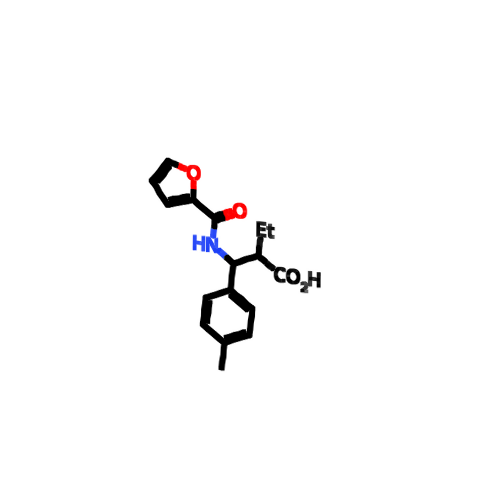 CCC(C(=O)O)C(NC(=O)c1ccco1)c1ccc(C)cc1